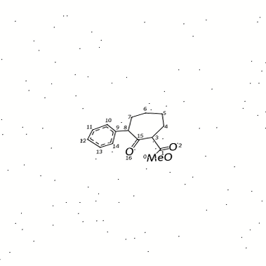 COC(=O)C1CCCCC(c2ccccc2)C1=O